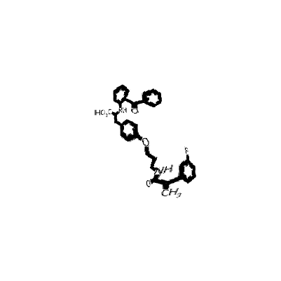 CC(C(=O)NCCCOc1ccc(CC(Nc2ccccc2C(=O)c2ccccc2)C(=O)O)cc1)c1cccc(F)c1